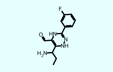 CCC(N)C1=C(C=O)NC(c2cccc(F)c2)=NN1